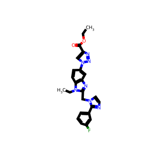 CCOC(=O)c1cn(-c2ccc3c(c2)nc(Cn2ccnc2-c2cccc(F)c2)n3CC)nn1